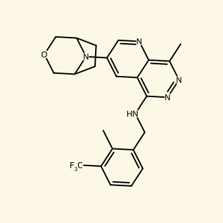 Cc1c(CNc2nnc(C)c3ncc(N4C5CCC4COC5)cc23)cccc1C(F)(F)F